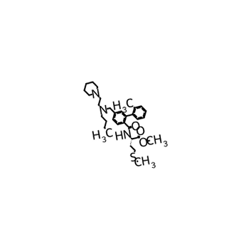 CCCCN(CCN1CCCCC1)Cc1ccc(C(=O)N[C@@H](CCSC)C(=O)OC)c(-c2ccccc2C)c1